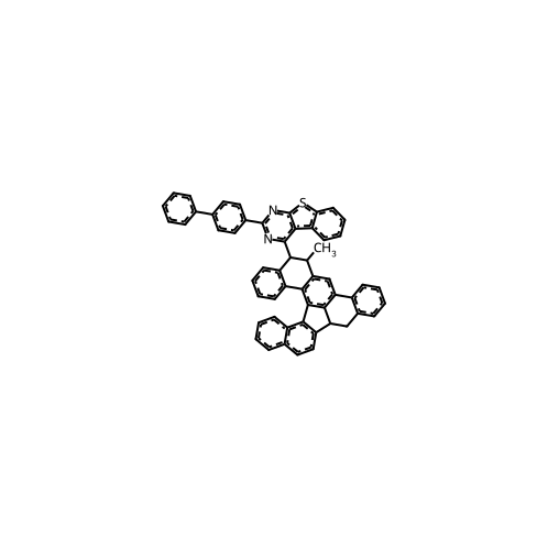 CC1c2cc3c4c(c2-c2ccccc2C1c1nc(-c2ccc(-c5ccccc5)cc2)nc2sc5ccccc5c12)-c1c(ccc2ccccc12)C4Cc1ccccc1-3